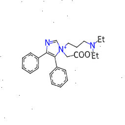 CCN(CC)CCC[N+]1(CC(=O)[O-])C=NC(c2ccccc2)=C1c1ccccc1